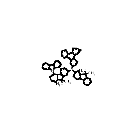 CC1(C)c2ccccc2-c2ccc(N(c3ccc4c(c3)C(C)(C)C3C=CC=C(n5c6ccccc6c6ccccc65)C43)c3ccc4c5ccccc5c5ccccc5c4c3)cc21